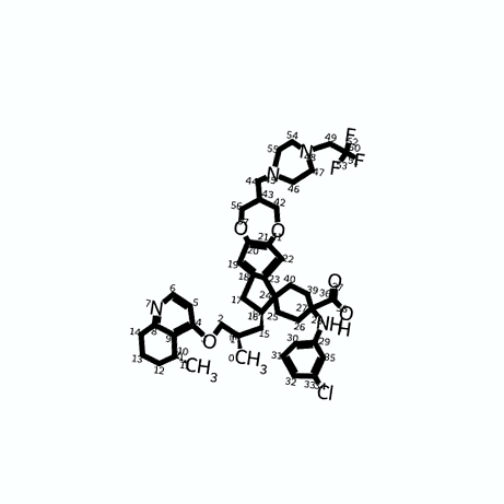 C[C@@H](COc1ccnc2c1[C@H](C)CCC2)C[C@H]1Cc2cc3c(cc2C12CCC(Nc1cccc(Cl)c1)(C(=O)O)CC2)OCC(CN1CCN(CC(F)(F)F)CC1)CO3